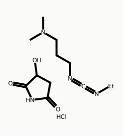 CCN=C=NCCCN(C)C.Cl.O=C1CC(O)C(=O)N1